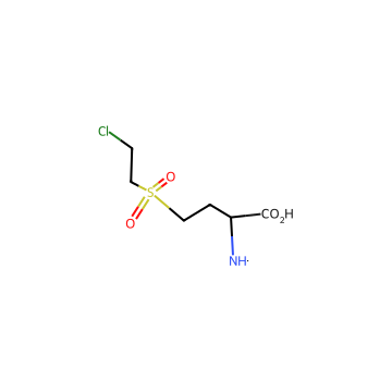 [NH]C(CCS(=O)(=O)CCCl)C(=O)O